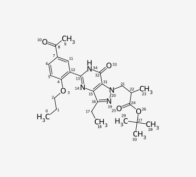 CCCOc1ccc(C(C)=O)cc1-c1nc2c(CC)nn(CC(C)C(=O)OC(C)(C)C)c2c(=O)[nH]1